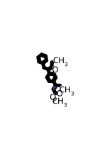 CC/C(=C\C(=O)OC)c1ccc2c(Cc3ccccc3)c(CC)oc2c1